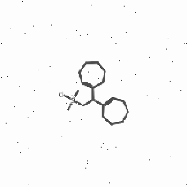 C[Si](C)(Cl)CC(C1=CCCCCC1)C1=CCCCCC1